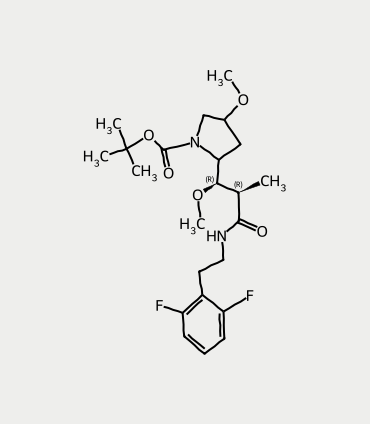 COC1CC([C@H](OC)[C@@H](C)C(=O)NCCc2c(F)cccc2F)N(C(=O)OC(C)(C)C)C1